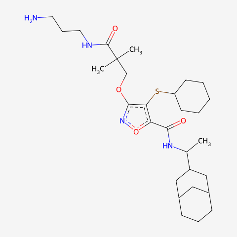 CC(NC(=O)c1onc(OCC(C)(C)C(=O)NCCCN)c1SC1CCCCC1)C1CC2CCCC(C2)C1